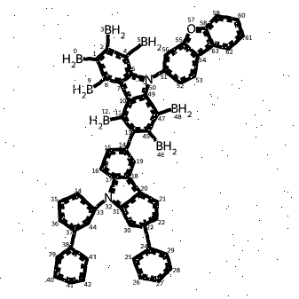 Bc1c(B)c(B)c2c(c1B)c1c(B)c(-c3ccc4c(c3)c3ccc(-c5ccccc5)cc3n4-c3cccc(-c4ccccc4)c3)c(B)c(B)c1n2-c1ccc2c(c1)oc1ccccc12